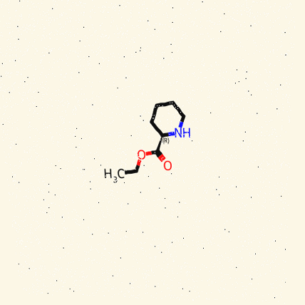 CCOC(=O)[C@H]1CCCCN1